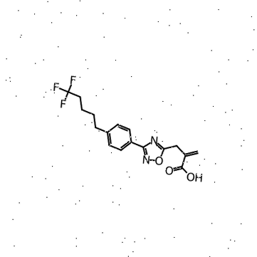 C=C(Cc1nc(-c2ccc(CCCCC(F)(F)F)cc2)no1)C(=O)O